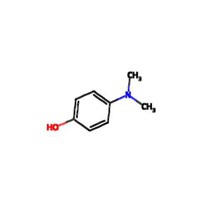 CN(C)c1ccc(O)cc1